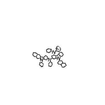 c1ccc(N(c2ccc3c4cc5ccccc5cc4n(-c4ccccc4)c3c2)c2cc(N(c3ccccc3)c3ccccc3)c3c4ccccc4n(-c4ccc5ccccc5c4)c3c2)cc1